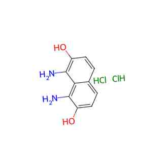 Cl.Cl.Nc1c(O)ccc2ccc(O)c(N)c12